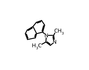 Cc1cnc(C)n1-c1cccc2ccccc12